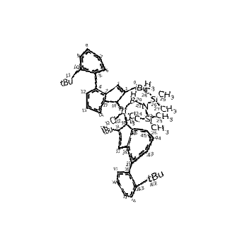 CCC(C)C1=Cc2c(-c3ccccc3C(C)(C)C)cccc2[CH]1[Zr]([Cl])([Cl])([BH]N([Si](C)(C)C)[Si](C)(C)C)[CH]1C(C(C)CC)=Cc2c(-c3ccccc3C(C)(C)C)cccc21